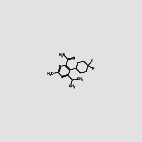 Cc1nc(C(N)=O)c(C2CCC(F)(F)CC2)c(C(C)C)n1